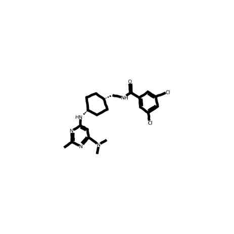 Cc1nc(N[C@H]2CC[C@@H](CNC(=O)c3cc(Cl)cc(Cl)c3)CC2)cc(N(C)C)n1